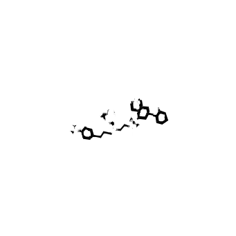 CC(C)(C)OC(=O)N(CCCc1ccc([N+](=O)[O-])cc1)CCNS(=O)(=O)c1cc(-c2ccccc2O)cc2cnccc12